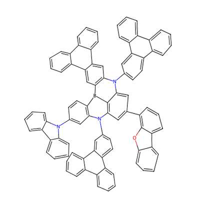 c1ccc2c(c1)oc1c(-c3cc4c5c(c3)N(c3ccc6c7ccccc7c7ccccc7c6c3)c3cc6c7ccccc7c7ccccc7c6cc3B5c3ccc(-n5c6ccccc6c6ccccc65)cc3N4c3ccc4c5ccccc5c5ccccc5c4c3)cccc12